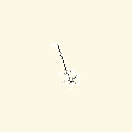 CCCCCCCCCCCCC/C=C/[C@H](OC)[C@@H](N)CO[C@@H]1OC(CO)[C@@H](O)C(O)[C@@H]1O